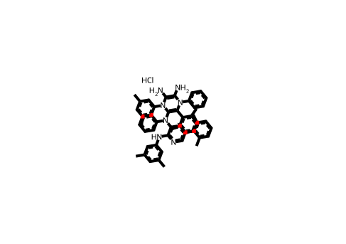 Cc1cc(C)cc(Nc2ncc(-c3c(C)cccc3C)nc2N(C2=C(c3c(C)cccc3C)N(c3ccccc3)C(N)=C(N)N2c2cc(C)cc(C)c2)c2ccccc2)c1.Cl